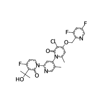 Cc1cnc(-n2ccc(F)c(C(C)(C)O)c2=O)cc1-n1c(C)cc(OCc2ncc(F)cc2F)c(Cl)c1=O